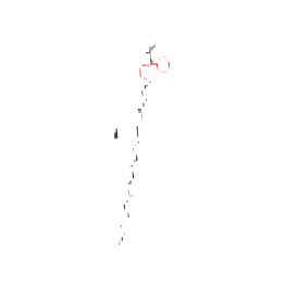 C=C.C=C(C)C(=O)OCCCCCCCCCCCCCCCCCC